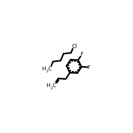 C=CCc1ccc(F)c(F)c1.CCCCCCl